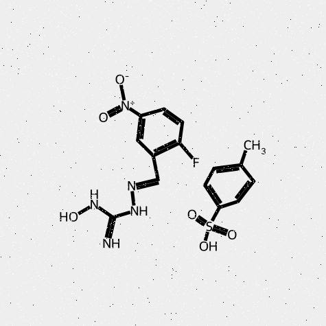 Cc1ccc(S(=O)(=O)O)cc1.N=C(NO)NN=Cc1cc([N+](=O)[O-])ccc1F